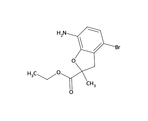 CCOC(=O)C1(C)Cc2c(Br)ccc(N)c2O1